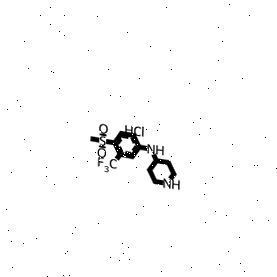 CS(=O)(=O)c1ccc(NC2CCNCC2)cc1C(F)(F)F.Cl